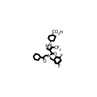 O=C(CN(Cc1cc(F)cc(F)c1)C(=O)c1cnn([C@H]2CC[C@H](C(=O)O)CC2)c1C(F)(F)F)C1CCCCC1